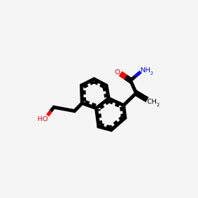 C=C(C(N)=O)c1cccc2c(CCO)cccc12